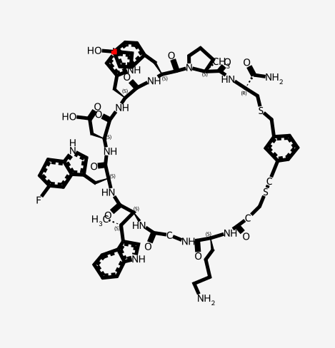 C[C@@H](c1c[nH]c2ccccc12)[C@@H]1NC(=O)CNC(=O)[C@H](CCCCN)NC(=O)CCSCc2cccc(c2)CSC[C@@H](C(N)=O)NC(=O)[C@]2(C)CCCN2C(=O)[C@H](Cc2ccc(O)cc2)NC(=O)[C@H](Cc2cnc[nH]2)NC(=O)[C@H](CC(=O)O)NC(=O)[C@H](Cc2c[nH]c3ccc(F)cc23)NC1=O